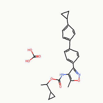 Cc1onc(-c2ccc(-c3ccc(C4CC4)cc3)cc2)c1NC(=O)OC(C)C1CC1.O=C(O)O